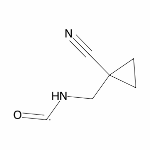 N#CC1(CN[C]=O)CC1